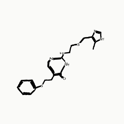 Cc1[nH]cnc1CSCCNc1ncc(CCSc2ccccc2)c(=O)[nH]1